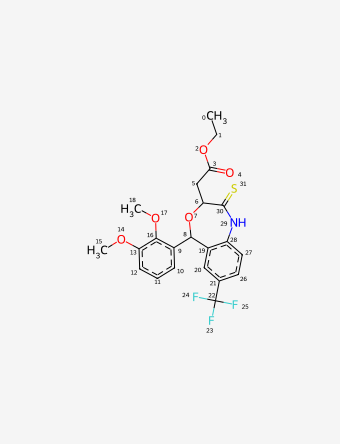 CCOC(=O)CC1OC(c2cccc(OC)c2OC)c2cc(C(F)(F)F)ccc2NC1=S